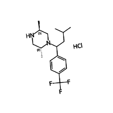 CC(C)CC(c1ccc(C(F)(F)F)cc1)N1C[C@H](C)NC[C@H]1C.Cl